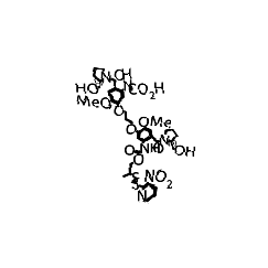 COc1cc(C(=O)N2CCC[C@H]2CO)c(NC(=O)O)cc1OCCCOc1cc(NC(=O)OCC(C)SSc2ncccc2[N+](=O)[O-])c(C(=O)N2CCC[C@H]2CO)cc1OC